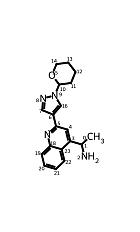 CC(N)c1cc(-c2cnn(C3CCCCO3)c2)nc2ccccc12